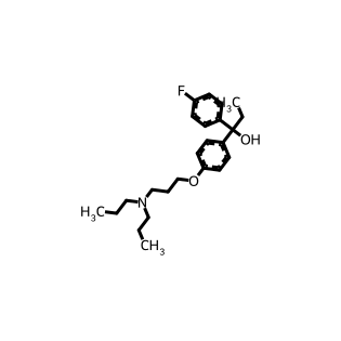 CCCN(CCC)CCCOc1ccc(C(O)(CC)c2ccc(F)cc2)cc1